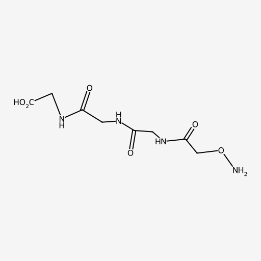 NOCC(=O)NCC(=O)NCC(=O)NCC(=O)O